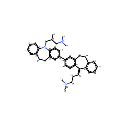 CC(CN(C)C)CN1c2ccccc2CCc2cc(-c3ccc4c(c3)CCc3ccccc3/C4=C/CCN(C)C)ccc21